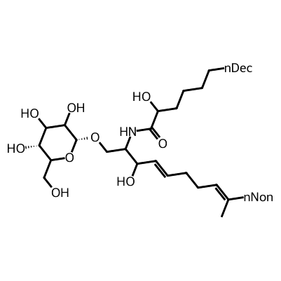 CCCCCCCCCCCCCCC(O)C(=O)NC(CO[C@@H]1OC(CO)[C@H](O)C(O)C1O)C(O)/C=C/CC/C=C(\C)CCCCCCCCC